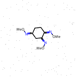 CON=C1CCC(=NOC)C(=NOC)C1